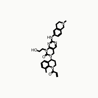 C=CC(=O)N1CC[C@H](N2Cc3cnc(Nc4ccc5c(c4)CCN(C)C5)nc3N(CCO)C2=O)c2cccc(C)c21